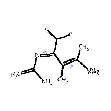 C=C(N)/N=C(\C(C)=C(/C)NC)C(F)F